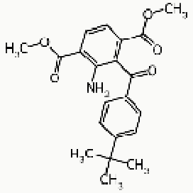 COC(=O)c1ccc(C(=O)OC)c(C(=O)c2ccc(C(C)(C)C)cc2)c1N